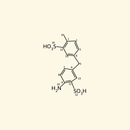 Cc1ccc(Cc2ccc(N)c(S(=O)(=O)O)c2)cc1S(=O)(=O)O